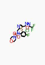 O=S(=O)(N1CCOCC1)N(Cc1ncc(-c2nnc(C(F)F)o2)s1)c1ccc(F)c(Cl)c1